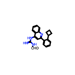 N=C(NC=O)Nc1cc(-c2ccccc2C2CCC2)nc2ccccc12